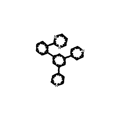 c1cnc(-c2ccccc2-c2cc(-c3ccncc3)cc(-c3ccncc3)c2)nc1